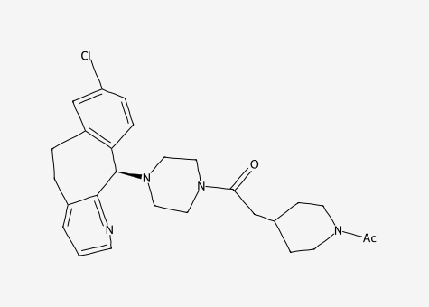 CC(=O)N1CCC(CC(=O)N2CCN([C@@H]3c4ccc(Cl)cc4CCc4cccnc43)CC2)CC1